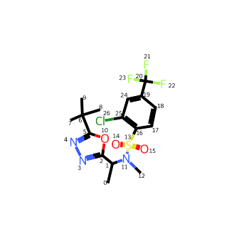 CC(c1nnc(C(C)(C)C)o1)N(C)S(=O)(=O)c1ccc(C(F)(F)F)cc1Cl